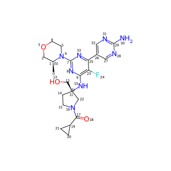 C[C@H]1COCCN1c1nc(N[C@@]2(CO)CCN(C(=O)C3CC3)C2)c(F)c(-c2cnc(N)nc2)n1